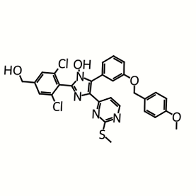 COc1ccc(COc2cccc(-c3c(-c4ccnc(SC)n4)nc(-c4c(Cl)cc(CO)cc4Cl)n3O)c2)cc1